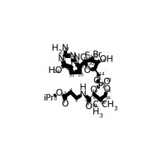 CC(C)OC(=O)CCNC(=O)[C@@H]1OP(=O)(OC[C@H]2O[C@@](C#N)(c3ccc4c(O)nc(N)nn34)[C@@](F)(Br)C2O)OCC1(C)C